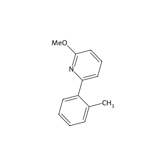 COc1cccc(-c2ccccc2C)n1